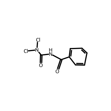 O=C(NC(=O)N(Cl)Cl)c1ccccc1